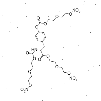 O=C(NC(Cc1ccc(OC(=O)OCCOCCO[N+](=O)[O-])cc1)C(=O)OCCOCCO[N+](=O)[O-])OCCOCCO[N+](=O)[O-]